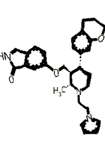 C[C@@H]1[C@@H](COc2ccc3c(c2)C(=O)NC3)[C@H](c2ccc3c(c2)OCCC3)CCN1CCn1cccc1